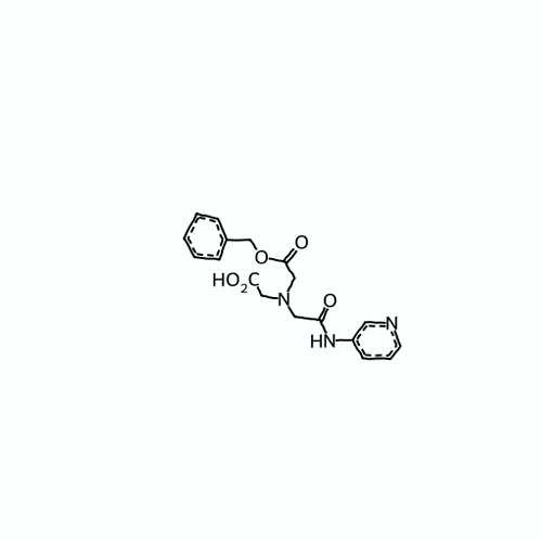 O=C(O)CN(CC(=O)Nc1cccnc1)CC(=O)OCc1ccccc1